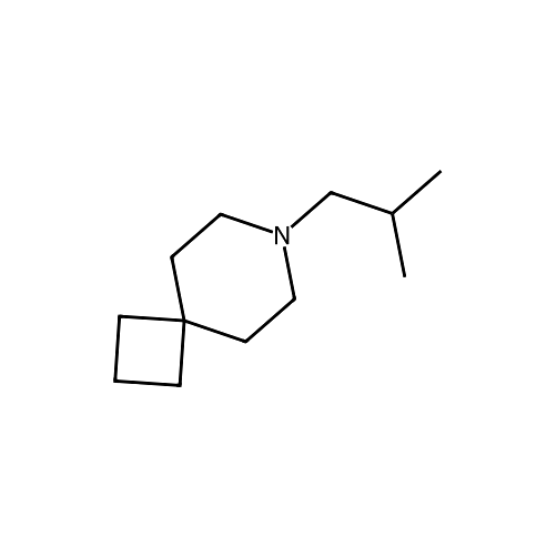 CC(C)CN1CCC2(CCC2)CC1